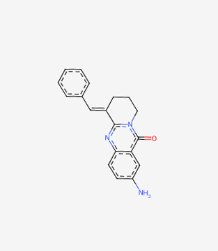 Nc1ccc2nc3n(c(=O)c2c1)CCCC3=Cc1ccccc1